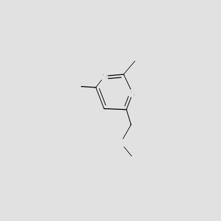 COCc1cc(C)nc(C)n1